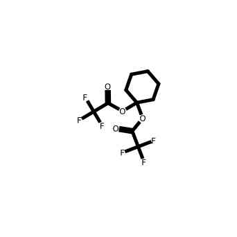 O=C(OC1(OC(=O)C(F)(F)F)CCCCC1)C(F)(F)F